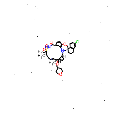 C[C@@H]1[C@@H](C)C/C=C/[C@](C)(OCC2CCOCC2)[C@@H]2CC[C@H]2CN2C[C@@]3(CCCc4cc(Cl)ccc43)COc3ccc(cc32)C(=O)NS1(=O)=O